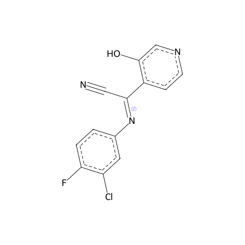 N#C/C(=N\c1ccc(F)c(Cl)c1)c1ccncc1O